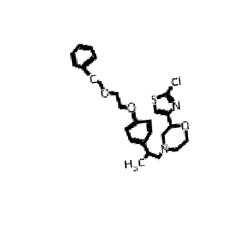 CC(CN1CCOC(c2csc(Cl)n2)C1)c1ccc(OCCOCCc2ccccc2)cc1